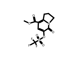 COC(=O)c1cc(OS(=O)(=O)C(F)(F)F)c(=O)n2c1CCC2